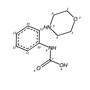 C1COCCN1.O=C(O)Nc1ccccc1